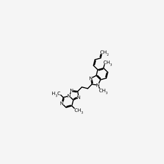 C=C/C=C\c1c(C)ccc2c1nc(CCc1nc3c(C)cnc(C)n3n1)n2C